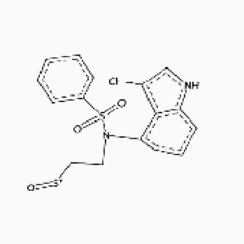 O=[S+]CCN(c1cccc2[nH]cc(Cl)c12)S(=O)(=O)c1ccccc1